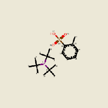 CC(C)(C)P(C(C)(C)C)C(C)(C)C.Cc1ccccc1S(=O)(=O)O